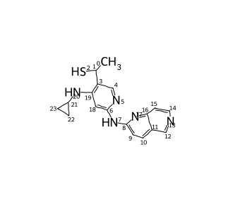 CC(S)c1cnc(Nc2ccc3cnccc3n2)cc1NC1CC1